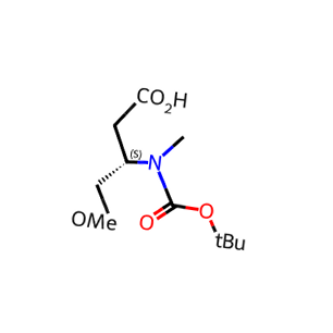 COC[C@H](CC(=O)O)N(C)C(=O)OC(C)(C)C